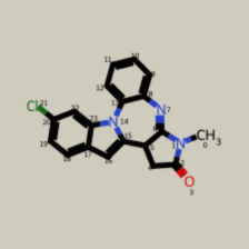 CN1C(=O)CC2C1=Nc1ccccc1-n1c2cc2ccc(Cl)cc21